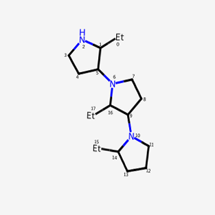 CCC1NCCC1N1CCC(N2CCCC2CC)C1CC